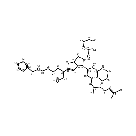 CC(C)=CCC[C@@H](C)CCC=C(OC1CCCCO1)[C@H]1C2C=C(C(CO)CCCCOCc3ccccc3)CC2C[C@@H]1OC1CCCCO1